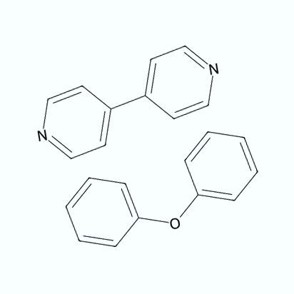 c1cc(-c2ccncc2)ccn1.c1ccc(Oc2ccccc2)cc1